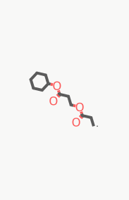 [CH2]CC(=O)OCCC(=O)OC1CCCCC1